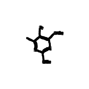 COc1nc(C)c(C(C)C)c(OC)n1